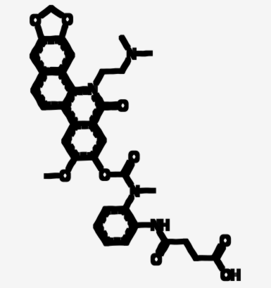 COc1cc2c(cc1OC(=O)N(C)c1ccccc1NC(=O)CCC(=O)O)c(=O)n(CCN(C)C)c1c3cc4c(cc3ccc21)OCO4